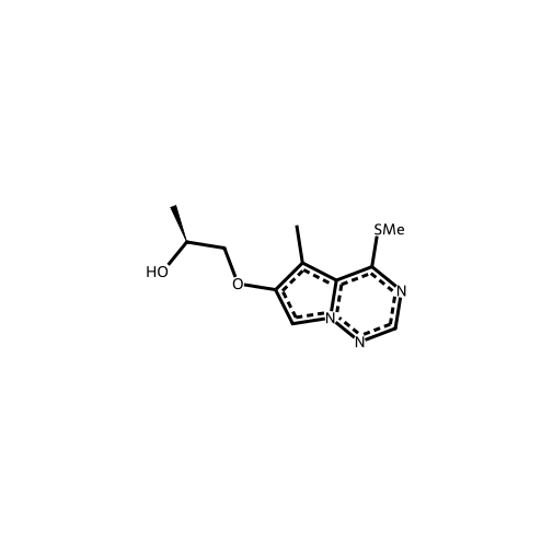 CSc1ncnn2cc(OC[C@H](C)O)c(C)c12